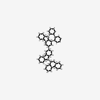 c1ccc2c(c1)-c1ccccc1-n1c3ccccc3c3cc(-c4ccc5c(c4)c4ccccc4n5-c4cc5ccccc5c5ccccc45)cc-2c31